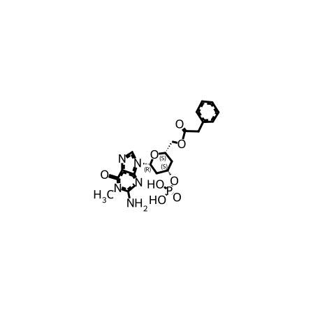 Cn1c(N)nc2c(ncn2[C@H]2C[C@@H](OP(=O)(O)O)C[C@@H](COC(=O)Cc3ccccc3)O2)c1=O